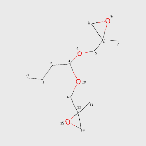 CCCC(OCC1(C)CO1)OCC1(C)CO1